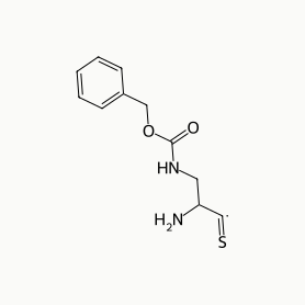 NC([C]=S)CNC(=O)OCc1ccccc1